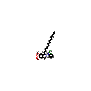 CCCCCCCCCCCCCCCC1=[N+](Cc2ccccc2Cl)CCc2cc(OC)c(OC)cc21